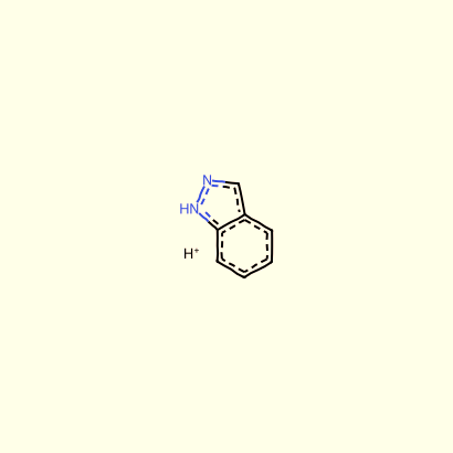 [H+].c1ccc2[nH]ncc2c1